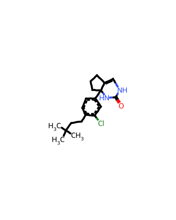 CC(C)(C)CCc1ccc(C23CCCC2=CNC(=O)N3)cc1Cl